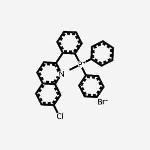 C[P+](c1ccccc1)(c1ccccc1)c1ccccc1-c1ccc2ccc(Cl)cc2n1.[Br-]